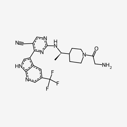 C[C@@H](Nc1ncc(C#N)c(-c2c[nH]c3ncc(C(F)(F)F)cc23)n1)C1CCN(C(=O)CN)CC1